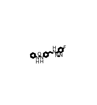 O=C(Nc1ccccc1)Nc1ccc(CCNc2ncnc3cc(F)ccc23)cc1